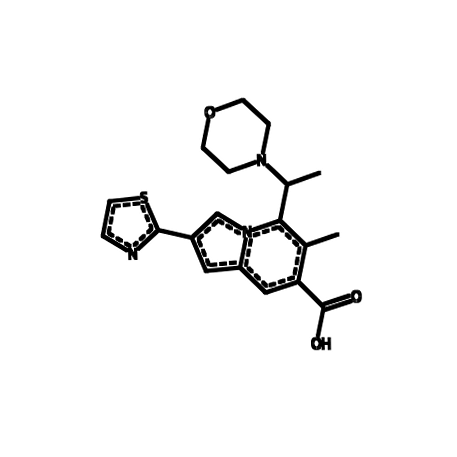 Cc1c(C(=O)O)cc2cc(-c3nccs3)cn2c1C(C)N1CCOCC1